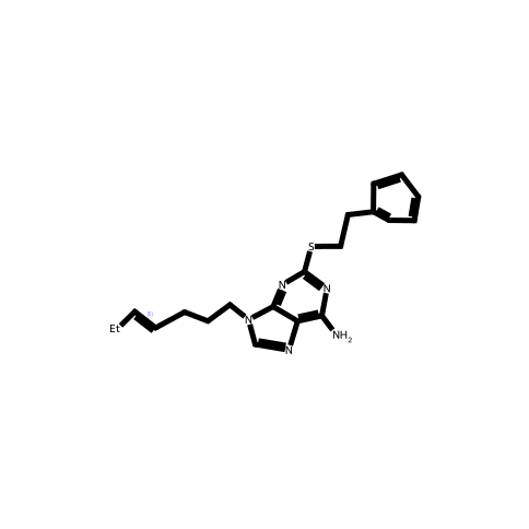 CC/C=C/CCCn1cnc2c(N)nc(SCCc3ccccc3)nc21